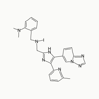 Cc1cccc(-c2nc(CN(I)Cc3ccccc3N(C)C)[nH]c2-c2ccc3ncnn3c2)n1